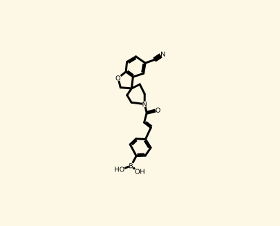 N#Cc1ccc2c(c1)C1(CCN(C(=O)/C=C/c3ccc(B(O)O)cc3)CC1)CO2